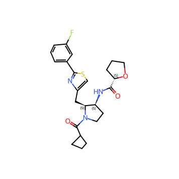 O=C(N[C@H]1CCN(C(=O)C2CCC2)[C@H]1Cc1csc(-c2cccc(F)c2)n1)[C@@H]1CCCO1